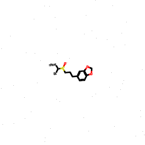 CCCCCC(CC)[S+]([O-])CCCc1ccc2c(c1)OCO2